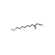 CCCCCCCCC(=O)CN